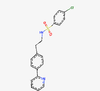 O=S(=O)(NCCc1ccc(-c2[c]cccn2)cc1)c1ccc(Cl)cc1